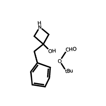 CC(C)(C)OC=O.OC1(Cc2ccccc2)CNC1